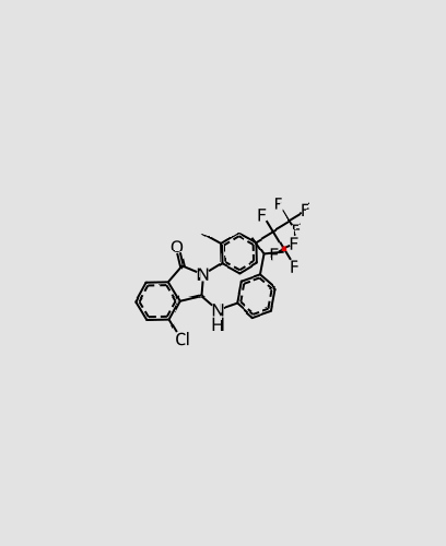 Cc1cc(C(F)(C(F)(F)F)C(F)(F)F)ccc1N1C(=O)c2cccc(Cl)c2C1Nc1cccc(C(C)C)c1